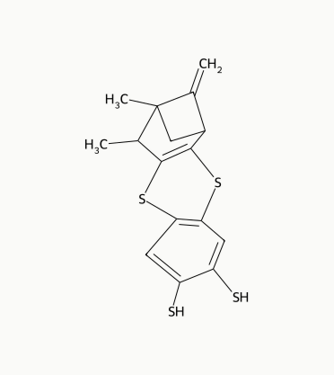 C=C1C2CC1(C)C(C)C1=C2Sc2cc(S)c(S)cc2S1